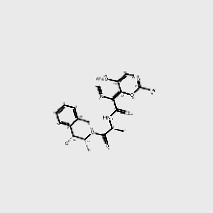 C=N/C(C(=O)N[C@@H](C)C(=O)O[C@H](C)[C@H](C)c1ccccc1C)=C(OC(=O)C(C)C)\C(=C/C)OC